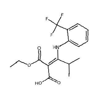 CCOC(=O)C(C(=O)O)=C(Nc1ccccc1C(F)(F)F)C(C)C